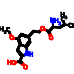 COc1cc(CCOC(=O)[C@@H](N)CC(C)C)cc2[nH]c(C(=O)O)cc12